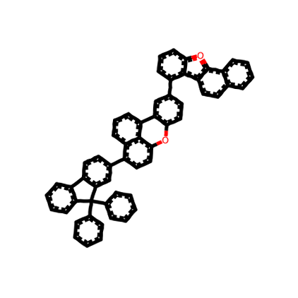 c1ccc(C2(c3ccccc3)c3ccccc3-c3ccc(-c4ccc5c6c(cccc46)-c4cc(-c6cccc7oc8c9ccccc9ccc8c67)ccc4O5)cc32)cc1